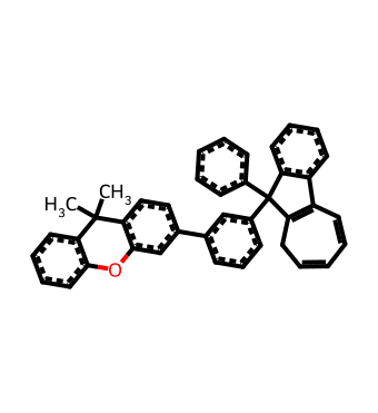 CC1(C)c2ccccc2Oc2cc(-c3cccc(C4(c5ccccc5)C5=C(C=CC=CC5)c5ccccc54)c3)ccc21